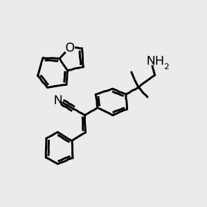 CC(C)(CN)c1ccc(/C(C#N)=C/c2ccccc2)cc1.c1ccc2occc2c1